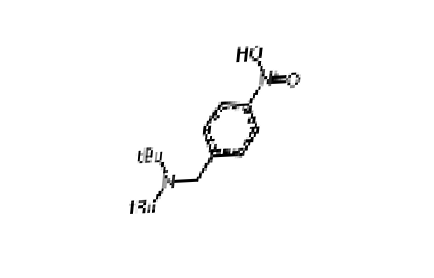 CC(C)(C)N(Cc1ccc([N+](=O)O)cc1)C(C)(C)C